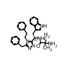 CC(C)(N)C(=O)N[C@H](Cc1c[nH]c2ccccc12)c1nnc(Cc2ccccc2)n1CCc1ccccc1